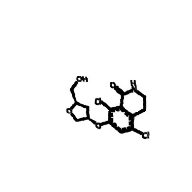 O=C1NCCc2c(Cl)cc(O[C@H]3CO[C@@H](CO)C3)c(Cl)c21